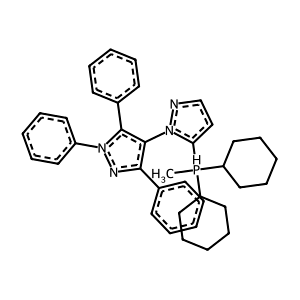 C[PH](c1ccnn1-c1c(-c2ccccc2)nn(-c2ccccc2)c1-c1ccccc1)(C1CCCCC1)C1CCCCC1